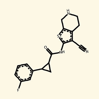 N#Cc1c(NC(=O)C2CC2c2cccc(F)c2)sc2c1CCNC2